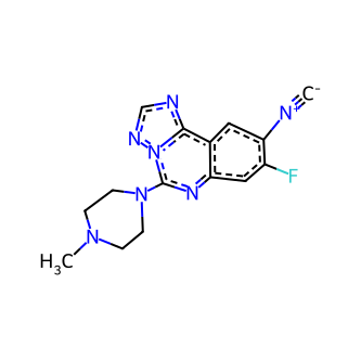 [C-]#[N+]c1cc2c(cc1F)nc(N1CCN(C)CC1)n1ncnc21